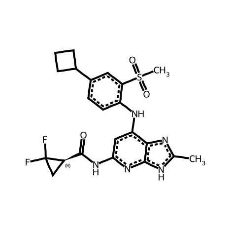 Cc1nc2c(Nc3ccc(C4CCC4)cc3S(C)(=O)=O)cc(NC(=O)[C@H]3CC3(F)F)nc2[nH]1